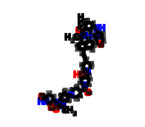 Cc1ccc(NC2CC3COCC(C2)N3)cc1C(=O)N[C@H](C)c1ccc(C#CC2CCN(CC3(O)CCN(C(=O)C4CCN(c5ccc6c(c5)n(C)c(=O)n6C5CCC(=O)NC5=O)CC4)CC3)CC2)c2ccccc12